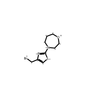 BrCc1csc(N2CCCOCC2)n1